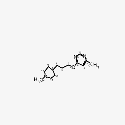 Cc1cc(OCCCC2CCN(C)CC2)ncn1